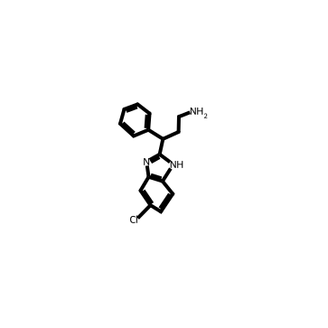 NCCC(c1ccccc1)c1nc2cc(Cl)ccc2[nH]1